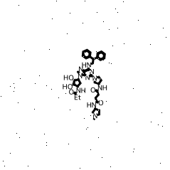 CCC(=O)NC1CC(n2cnc3c(NCC(c4ccccc4)c4ccccc4)nc(N4CCC(NC(=O)CCC(=O)NC5CCN(C)C5)C4)nc32)[C@H](O)[C@@H]1O